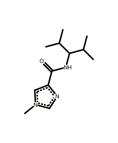 CC(C)C(NC(=O)c1cn(C)cn1)C(C)C